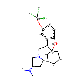 CN(C)[C@@H]1CCN(CC(c2cccc(OC(F)(F)F)c2)C2(O)CCCCC2)C1